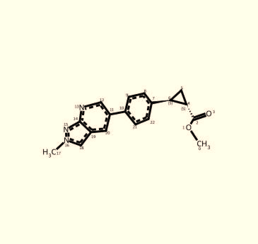 COC(=O)[C@H]1C[C@@H]1c1ccc(-c2cnc3nn(C)cc3c2)cc1